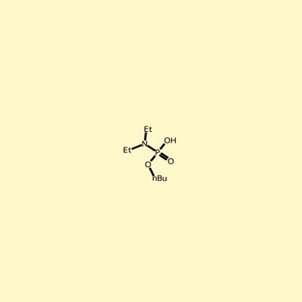 CCCCOP(=O)(O)N(CC)CC